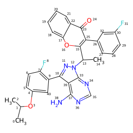 CC(C)Oc1ccc(F)c(-c2nn(C(C)c3oc4ccccc4c(=O)c3-c3cccc(F)c3)c3ncnc(N)c23)c1